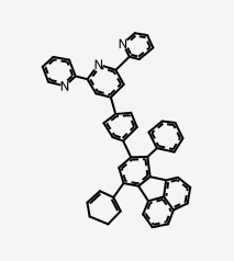 C1=CC(c2cc(-c3ccc(-c4cc(-c5ccccn5)nc(-c5ccccn5)c4)cc3)c(-c3ccccc3)c3c2-c2cccc4cccc-3c24)=CCC1